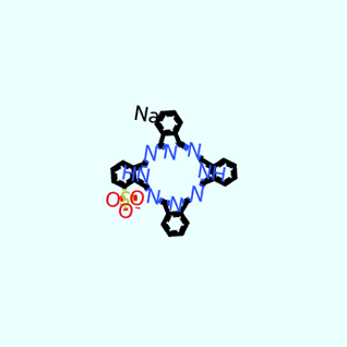 O=S(=O)([O-])c1cccc2c3nc4nc(nc5[nH]c(nc6nc(nc([nH]3)c12)-c1ccccc1-6)c1ccccc51)-c1ccccc1-4.[Na+]